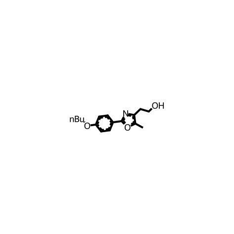 CCCCOc1ccc(-c2nc(CCO)c(C)o2)cc1